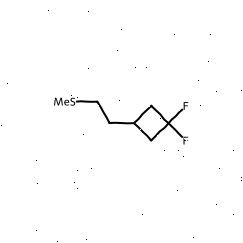 CSCCC1CC(F)(F)C1